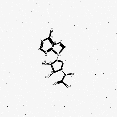 O=C(O)C(O)[C@H]1O[C@@H](n2cnc3c(O)ncnc32)[C@H](O)[C@@H]1O